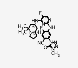 Cn1nnn(-c2cc(Nc3ncc(F)c(N[C@@H]4C[C@@H]5CCCN5C(C)(C)C4)n3)c(F)cc2C#N)c1=O